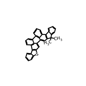 CC1(C)c2ccccc2-c2c1cc1c3cc4sc5ccccc5c4c4cccc(c5cccc2c51)c34